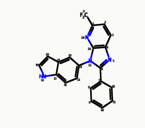 FC(F)(F)c1ccc2nc(-c3ccccc3)n(-c3ccc4[nH]ccc4c3)c2n1